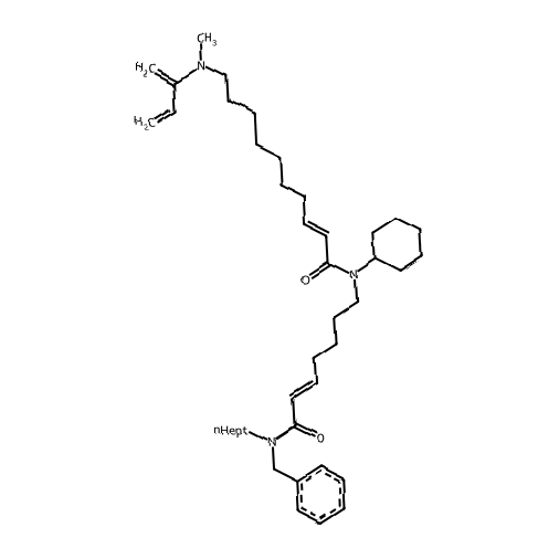 C=CC(=C)N(C)CCCCCCC/C=C/C(=O)N(CCCC/C=C/C(=O)N(CCCCCCC)Cc1ccccc1)C1CCCCC1